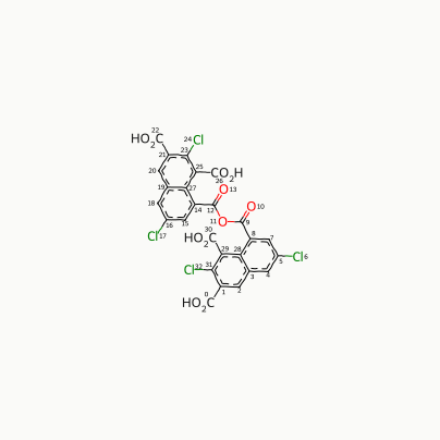 O=C(O)c1cc2cc(Cl)cc(C(=O)OC(=O)c3cc(Cl)cc4cc(C(=O)O)c(Cl)c(C(=O)O)c34)c2c(C(=O)O)c1Cl